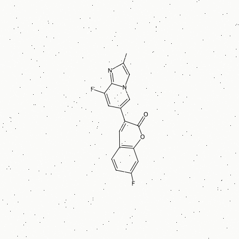 Cc1cn2cc(-c3cc4ccc(F)cc4oc3=O)cc(F)c2n1